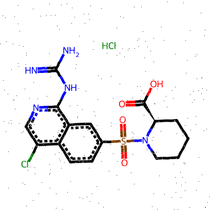 Cl.N=C(N)Nc1ncc(Cl)c2ccc(S(=O)(=O)N3CCCC[C@@H]3C(=O)O)cc12